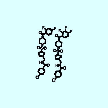 O=C(NCc1ccc(S(=O)(=O)N2CCN(C(=O)c3ccc(F)c(F)c3F)CC2)s1)c1ccc(Cl)cc1.O=C(NCc1ccc(S(=O)(=O)N2CCN(C(=O)c3ccc(F)cc3F)CC2)s1)c1ccc(Cl)cc1